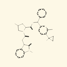 CN1C(=O)C(CC(=O)N2CC(F)CC2C(=O)NC(c2ccccc2)c2ccc(C3(C)CC3)c(F)n2)c2ccccc21